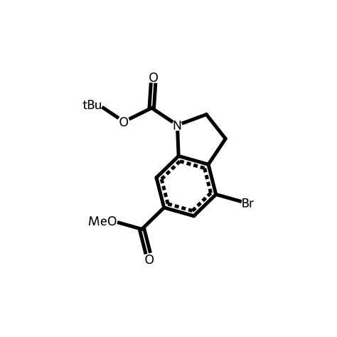 COC(=O)c1cc(Br)c2c(c1)N(C(=O)OC(C)(C)C)CC2